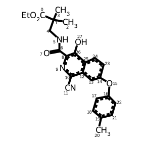 CCOC(=O)C(C)(C)CNC(=O)c1nc(C#N)c2cc(Oc3ccc(C)cc3)ccc2c1O